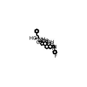 CC12Cc3cnn(-c4ccc(F)cc4)c3C=C1CCC1C2[C@@H](O)CC2(C)C1CCC2(O)C(=O)N[C@H](CO)CCc1ccccc1